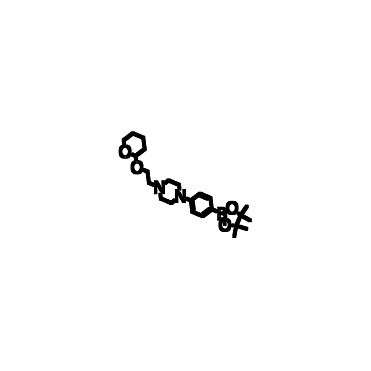 CC1(C)OB(c2ccc(N3CCN(CCOC4CCCCO4)CC3)cc2)OC1(C)C